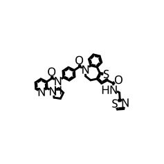 O=C(NCc1nccs1)c1cc2c(s1)-c1ccccc1N(C(=O)c1ccc(NC(=O)c3cccnc3N3CCCC3)cc1)CC2